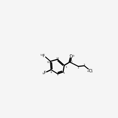 O=C(CCCl)c1ccc(F)c(F)c1